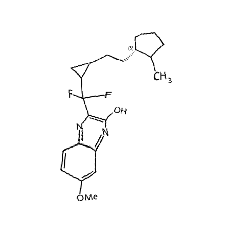 COc1ccc2nc(C(F)(F)C3CC3CC[C@@H]3CCCC3C)c(O)nc2c1